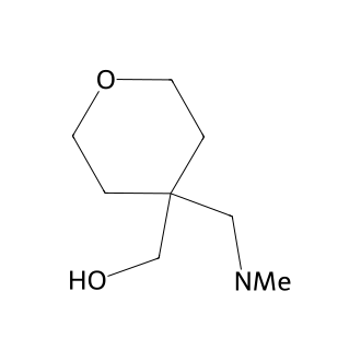 CNCC1(CO)CCOCC1